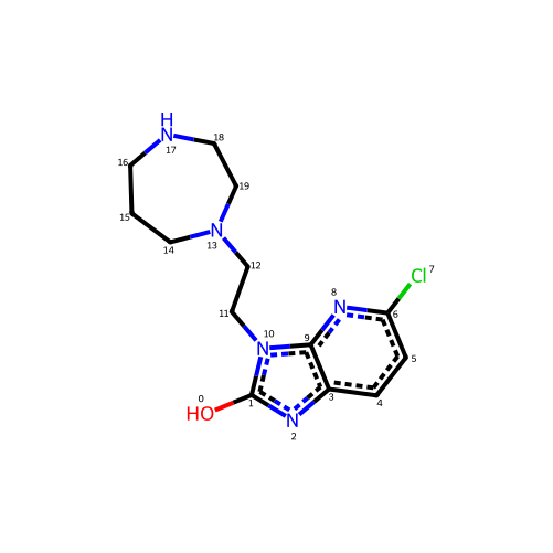 Oc1nc2ccc(Cl)nc2n1CCN1CCCNCC1